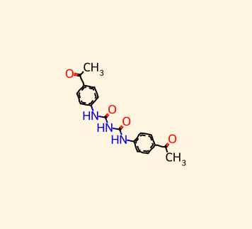 CC(=O)c1ccc(NC(=O)NC(=O)Nc2ccc(C(C)=O)cc2)cc1